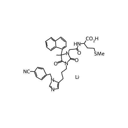 CSCCC(NC(=O)CN1C(=O)N(CCCc2cncn2Cc2ccc(C#N)cc2)C(=O)C1(C)c1cccc2ccccc12)C(=O)O.[Li]